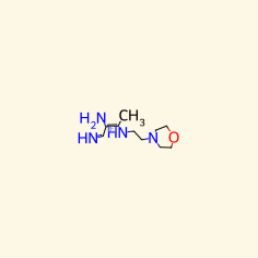 C/C(NCCN1CCOCC1)=C(\N)C=N